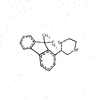 CC1(C)c2ccccc2-c2cccc(C3C[Se]CC[Se]3)c21